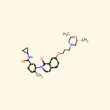 Cc1ccc(C(=O)NC2CC2)cc1-n1ccc2ccc(OCCCN3C[C@@H](C)O[C@@H](C)C3)cc2c1=O